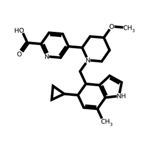 COC1CCN(CC2c3cc[nH]c3C(C)=CC2C2CC2)C(c2ccc(C(=O)O)nc2)C1